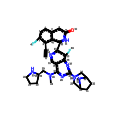 C#Cc1c(F)ccc2cc(=O)[nH]c(-c3ncc4c(N(C)C[C@H]5CCCN5)nc(N5CC6CCC(C5)N6C)nc4c3F)c12